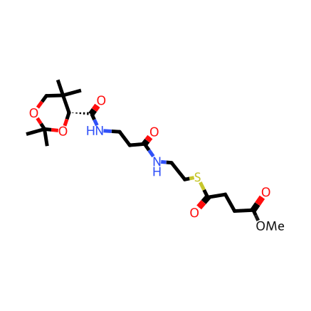 COC(=O)CCC(=O)SCCNC(=O)CCNC(=O)[C@@H]1OC(C)(C)OCC1(C)C